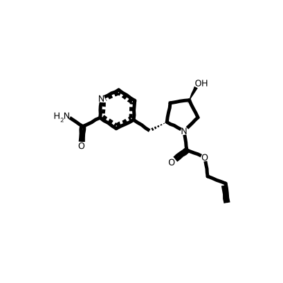 C=CCOC(=O)N1C[C@H](O)C[C@H]1Cc1ccnc(C(N)=O)c1